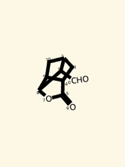 O=CC1C2CC3C(=O)OC1C3C2